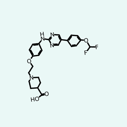 O=C(O)C1CCN(CCOc2ccc(Nc3ncc(-c4ccc(OC(F)F)cc4)cn3)cc2)CC1